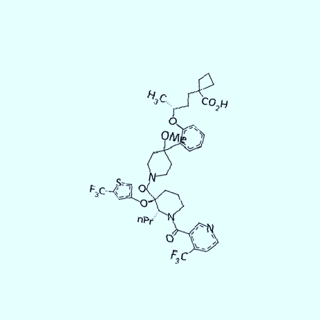 CCC[C@H]1N(C(=O)c2cnccc2C(F)(F)F)CCC[C@@]1(Oc1csc(C(F)(F)F)c1)C(=O)N1CCC(OC)(c2ccccc2O[C@H](C)CCC2(C(=O)O)CCC2)CC1